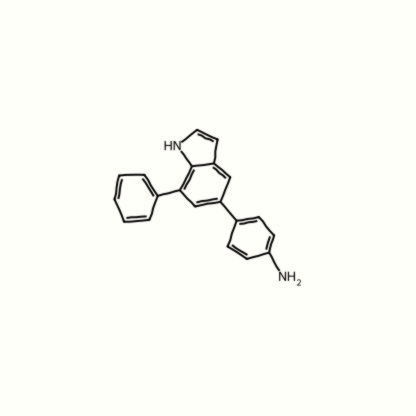 Nc1ccc(-c2cc(-c3ccccc3)c3[nH]ccc3c2)cc1